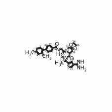 Cc1ccc(-c2ccc(C(=O)NCC(=O)N3CC4(C[C@H]3C(=O)NC(C)c3cc(C(=N)N)cs3)OCCO4)cc2)c(C)c1